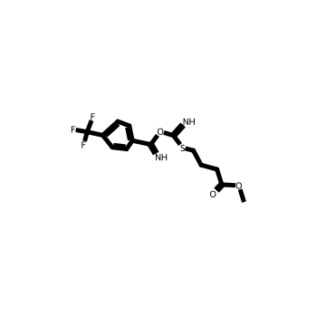 COC(=O)CCCSC(=N)OC(=N)c1ccc(C(F)(F)F)cc1